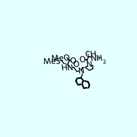 COC(=O)[C@H](CCSC)NC(=O)CN(Cc1cccc2ccccc12)C[C@@H]1CCCN1C(=O)[C@@H](C)N